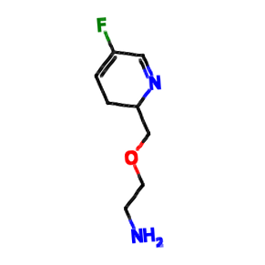 NCCOCC1CC=C(F)C=N1